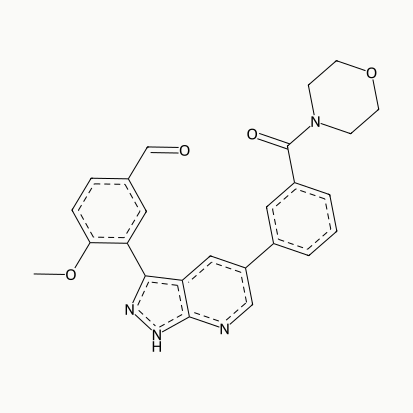 COc1ccc(C=O)cc1-c1n[nH]c2ncc(-c3cccc(C(=O)N4CCOCC4)c3)cc12